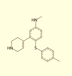 CNc1ccc(Sc2ccc(C)cc2)c(C2=CCNCC2)c1